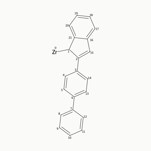 [Zr][CH]1C(c2ccc(-c3ccccc3)cc2)=Cc2ccccc21